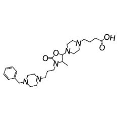 CC1C(N2CCN(CCCC(=O)O)CC2)OC(=O)N1CCCN1CCN(Cc2ccccc2)CC1